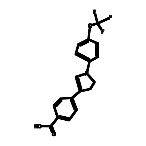 O=C(O)c1ccc(C2=CN(c3ccc(OC(F)(F)F)cc3)CC2)cc1